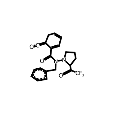 O=C=C1CC=CC=C1C(=O)N(Cc1ccccc1)N1CCCC1C(=O)C(F)(F)F